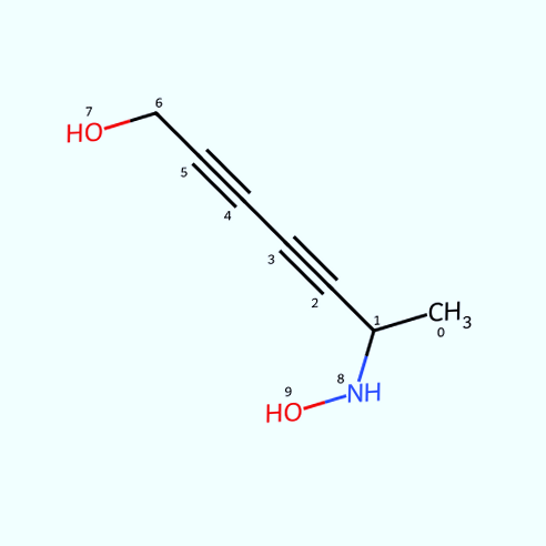 CC(C#CC#CCO)NO